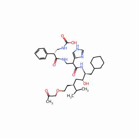 CC(=O)COCC[C@@H](C[C@@H](O)[C@H](CC1CCCCC1)NC(=O)C(CNC(=O)[C@@H](CNC(=O)O)c1ccccc1)c1c[nH]cn1)C(C)C